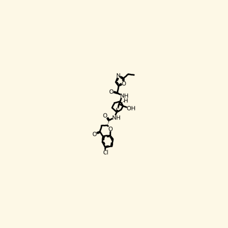 CCc1ncc(C(=O)NC23CCC(NC(=O)[C@H]4CC(=O)c5cc(Cl)ccc5O4)(CC2)C[C@@H]3O)o1